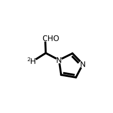 [2H]C(C=O)n1ccnc1